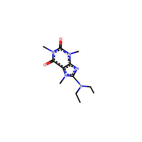 CCN(CC)c1nc2c(c(=O)n(C)c(=O)n2C)n1C